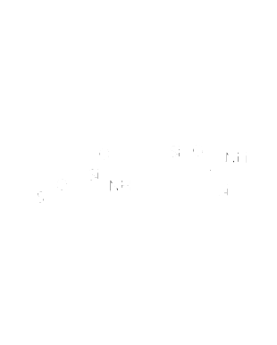 CC(C)(O[Si]1(C)NCC1(C)O[Si](C)(C)C)C(C)(C)[Si](C)(C)OC(C)(N)[Si](C)(C)C